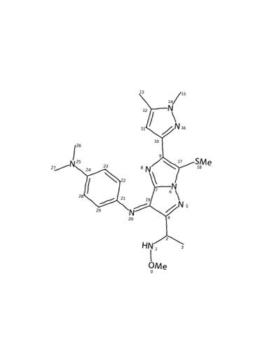 CONC(C)C1=Nn2c(nc(-c3cc(C)n(C)n3)c2SC)/C1=N\c1ccc(N(C)C)cc1